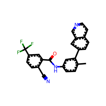 Cc1ccc(NC(=O)c2cc(C(F)(F)F)ccc2C#N)cc1-c1ccc2ccncc2c1